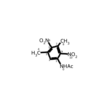 CC(=O)Nc1cc(C)c([N+](=O)[O-])c(C)c1[N+](=O)[O-]